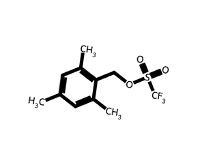 Cc1cc(C)c(COS(=O)(=O)C(F)(F)F)c(C)c1